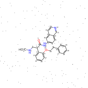 O=C(O)NCC(C(=O)Nc1ccc2cnccc2c1)c1ccccc1OCCc1ccccc1